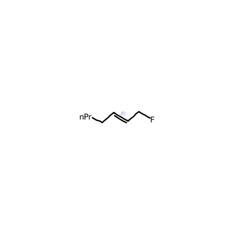 [CH2]CCC/C=C/CF